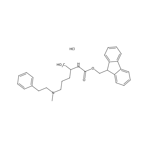 CN(CCCC(NC(=O)OCC1c2ccccc2-c2ccccc21)C(=O)O)CCc1ccccc1.Cl